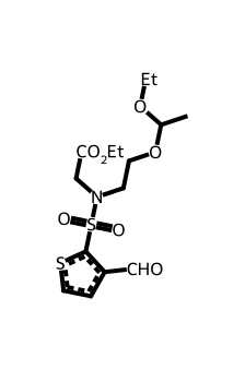 CCOC(=O)CN(CCOC(C)OCC)S(=O)(=O)c1sccc1C=O